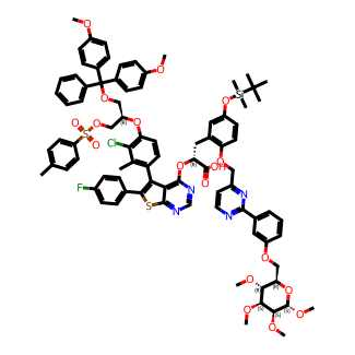 COc1ccc(C(OC[C@H](COS(=O)(=O)c2ccc(C)cc2)Oc2ccc(-c3c(-c4ccc(F)cc4)sc4ncnc(O[C@H](Cc5cc(O[Si](C)(C)C(C)(C)C)ccc5OCc5ccnc(-c6cccc(OC[C@H]7O[C@H](OC)[C@@H](OC)[C@@H](OC)[C@@H]7OC)c6)n5)C(=O)O)c34)c(C)c2Cl)(c2ccccc2)c2ccc(OC)cc2)cc1